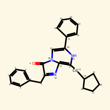 O=c1c(Cc2ccccc2)nc2[c]([Cd][CH]3CCCC3)[nH]c(-c3ccccc3)cn1-2